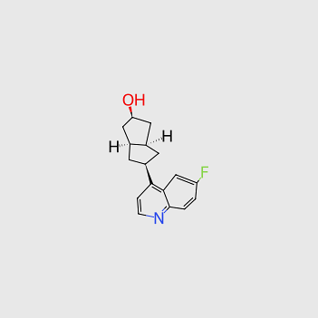 O[C@@H]1C[C@@H]2C[C@H](c3ccnc4ccc(F)cc34)C[C@@H]2C1